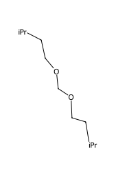 CC(C)CCOCOCCC(C)C